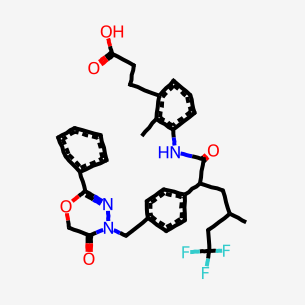 Cc1c(CCC(=O)O)cccc1NC(=O)C(CC(C)CC(F)(F)F)c1ccc(CN2N=C(c3ccccc3)OCC2=O)cc1